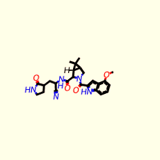 COc1cccc2[nH]c(C(=O)N3CC4[C@H](C3C(=O)NC(C#N)CC3CCNC3=O)C4(C)C)cc12